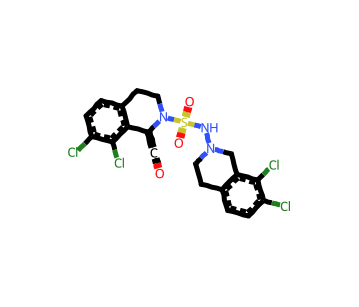 O=C=C1c2c(ccc(Cl)c2Cl)CCN1S(=O)(=O)NN1CCc2ccc(Cl)c(Cl)c2C1